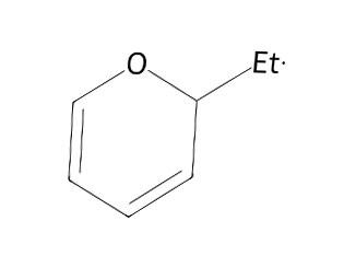 C[CH]C1C=CC=CO1